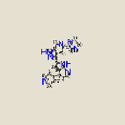 c1cc(-c2ccnc3[nH]c(-c4n[nH]c5cnc(-c6cnccn6)cc45)cc23)ccn1